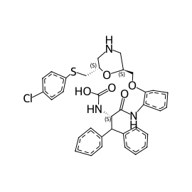 O=C(O)N[C@H](C(=O)Nc1ccccc1OC[C@@H]1CNC[C@@H](CSc2ccc(Cl)cc2)O1)C(c1ccccc1)c1ccccc1